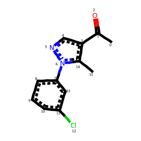 CC(=O)c1cnn(-c2cccc(Cl)c2)c1C